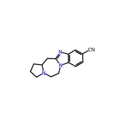 N#Cc1ccc2c(c1)nc1n2CCN2CCCC2C1